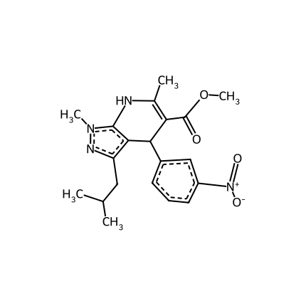 COC(=O)C1=C(C)Nc2c(c(CC(C)C)nn2C)C1c1cccc([N+](=O)[O-])c1